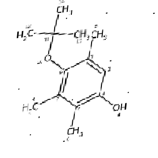 Cc1cc(O)c(C)c(C)c1OC(C)(C)C